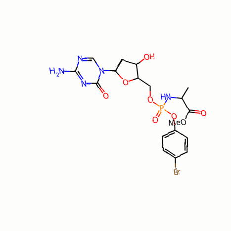 COC(=O)C(C)NP(=O)(OCC1OC(n2cnc(N)nc2=O)CC1O)Oc1ccc(Br)cc1